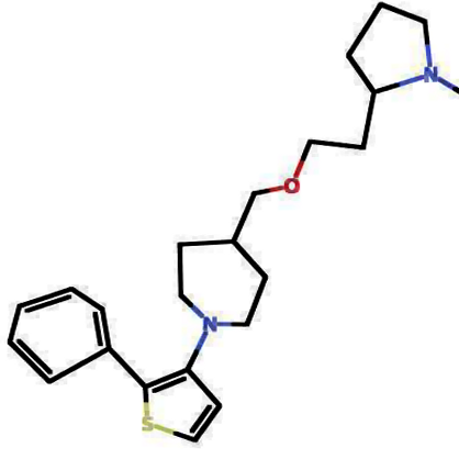 CN1CCCC1CCOCC1CCN(c2ccsc2-c2ccccc2)CC1